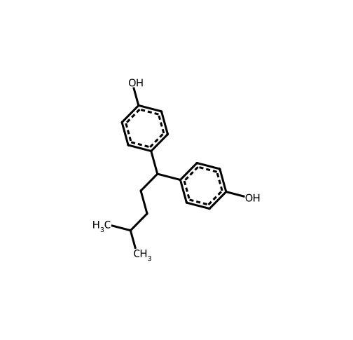 CC(C)CCC(c1ccc(O)cc1)c1ccc(O)cc1